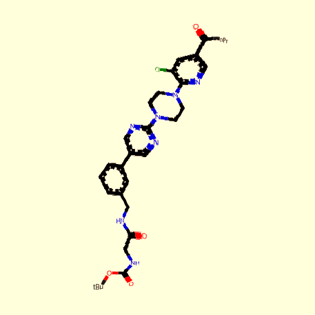 CCCC(=O)c1cnc(N2CCN(c3ncc(-c4cccc(CNC(=O)CNC(=O)OC(C)(C)C)c4)cn3)CC2)c(Cl)c1